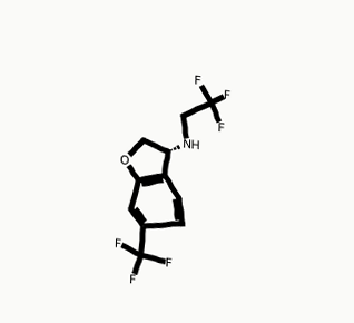 FC(F)(F)CN[C@H]1COc2cc(C(F)(F)F)ccc21